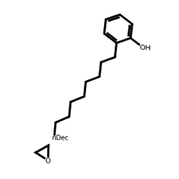 C1CO1.CCCCCCCCCCCCCCCCCCc1ccccc1O